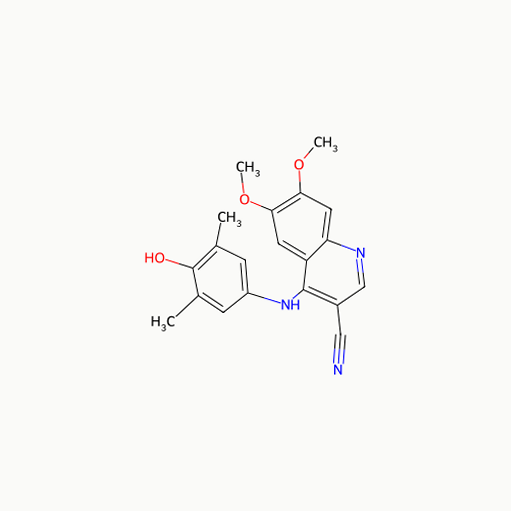 COc1cc2ncc(C#N)c(Nc3cc(C)c(O)c(C)c3)c2cc1OC